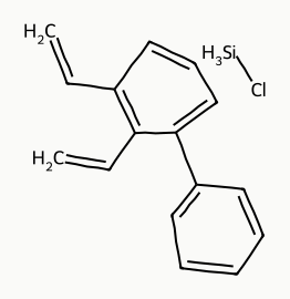 C=Cc1cccc(-c2ccccc2)c1C=C.[SiH3]Cl